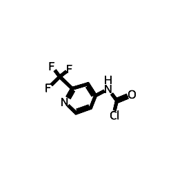 O=C(Cl)Nc1ccnc(C(F)(F)F)c1